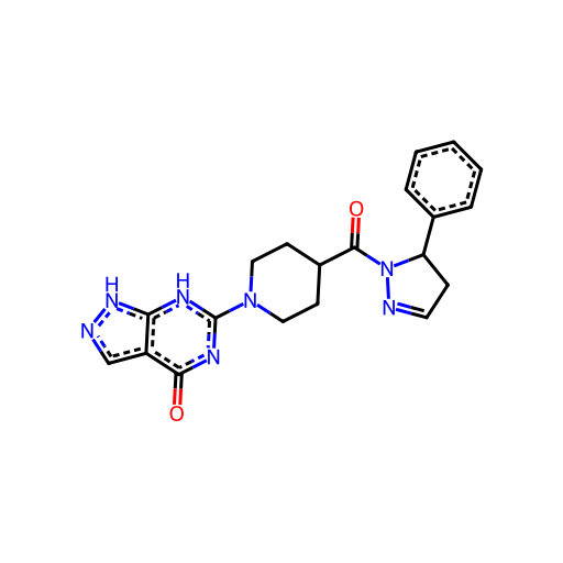 O=C(C1CCN(c2nc(=O)c3cn[nH]c3[nH]2)CC1)N1N=CCC1c1ccccc1